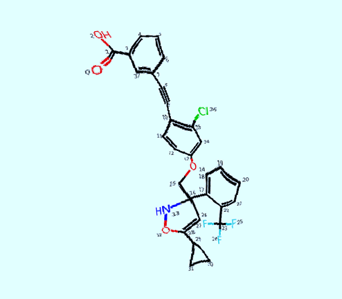 O=C(O)c1cccc(C#Cc2ccc(OCC3(c4ccccc4C(F)(F)F)C=C(C4CC4)ON3)cc2Cl)c1